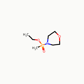 CCOP(C)(=O)N1CCOCC1